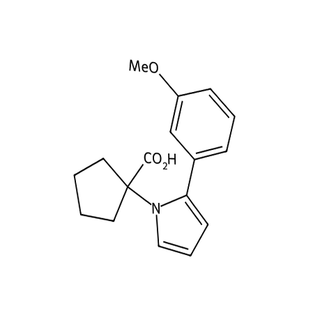 COc1cccc(-c2cccn2C2(C(=O)O)CCCC2)c1